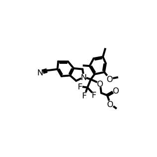 COC(=O)COC(c1c(C)cc(C)cc1OC)(N1Cc2ccc(C#N)cc2C1)C(F)(F)F